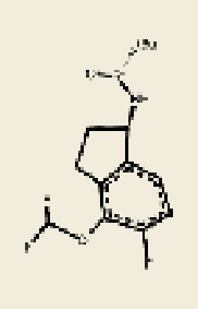 CC(C)(C)[S@@+]([O-])N[C@@H]1CCc2c1ccc(F)c2OC(F)F